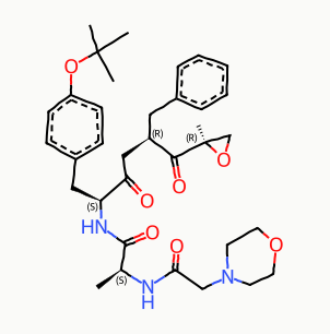 C[C@H](NC(=O)CN1CCOCC1)C(=O)N[C@@H](Cc1ccc(OC(C)(C)C)cc1)C(=O)C[C@@H](Cc1ccccc1)C(=O)[C@@]1(C)CO1